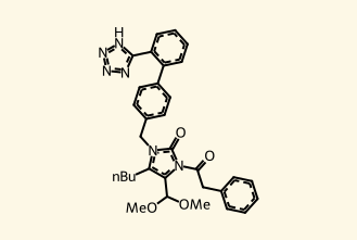 CCCCc1c(C(OC)OC)n(C(=O)Cc2ccccc2)c(=O)n1Cc1ccc(-c2ccccc2-c2nnn[nH]2)cc1